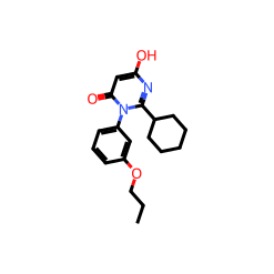 CCCOc1cccc(-n2c(C3CCCCC3)nc(O)cc2=O)c1